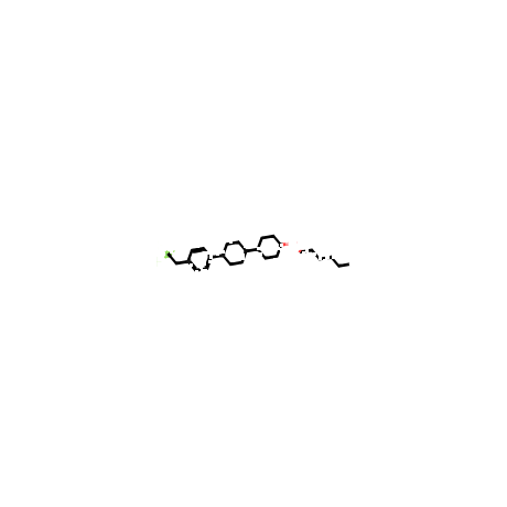 CCCCCCOC1CCC(C2CCC(c3ccc(CC(F)(F)F)cc3)CC2)CC1